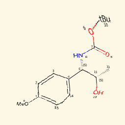 COc1ccc([C@H](NC(=O)OC(C)(C)C)[C@H](C)O)cc1